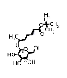 CC(CC/C=C/C(=O)OC(C)(C)C)O[C@H]1OC(CO)[C@@H](O)C(O)C1O